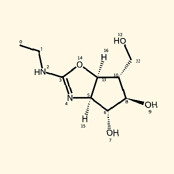 CCNC1=N[C@@H]2[C@@H](O)[C@H](O)[C@@H](CO)[C@@H]2O1